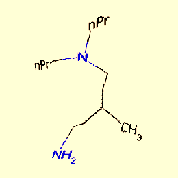 CCCN(CCC)CC(C)CN